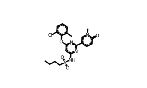 CCCCS(=O)(=O)Nc1cc(Oc2c(C)cccc2Cl)nc(-c2ccc(=O)n(C)c2)n1